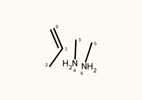 C=CC.CN.CN